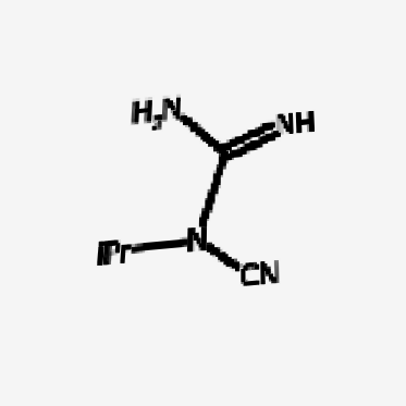 CC(C)N(C#N)C(=N)N